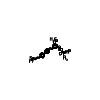 C=C(CN=O)C(=O)OOOc1cc(CCc2ccc(-c3ccc(CCCCC(F)(F)F)cc3)cc2)cc(OOC)c1